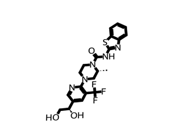 C[C@@H]1CN(c2ncc([C@H](O)CO)cc2C(F)(F)F)CCN1C(=O)Nc1nc2ccccc2s1